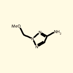 COCn1ncc(N)n1